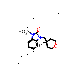 CC1(Cn2c(=O)n(S(=O)(=O)O)c3ccccc32)CCOCC1